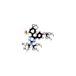 CC1=CC(=S=O)C(c2nnc(N(C(C)C)C(C)C)nc2-c2ccc(OC(C)C)cc2)C=C1